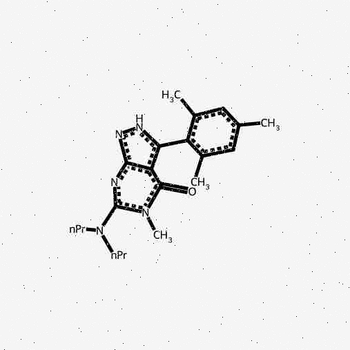 CCCN(CCC)c1nc2n[nH]c(-c3c(C)cc(C)cc3C)c2c(=O)n1C